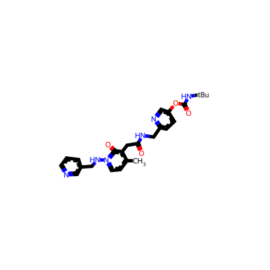 Cc1ccn(NCc2cccnc2)c(=O)c1CC(=O)NCc1ccc(OC(=O)NC(C)(C)C)cn1